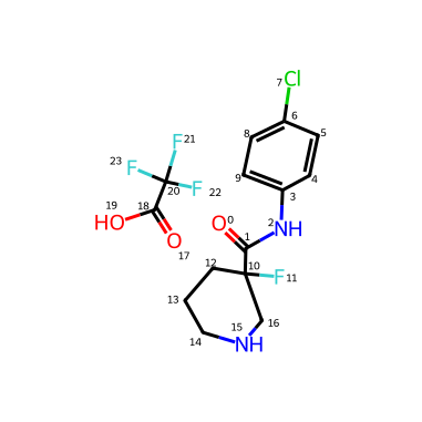 O=C(Nc1ccc(Cl)cc1)C1(F)CCCNC1.O=C(O)C(F)(F)F